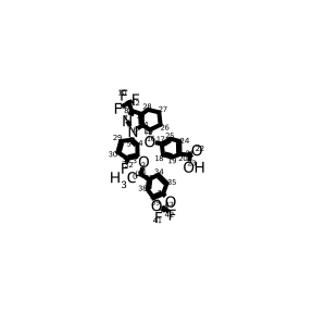 C[C@H](Oc1cc(-n2nc(C(F)(F)F)c3c2[C@@H](Oc2ccc(C(=O)O)cc2)CCC3)ccc1F)c1ccc2c(c1)OC(F)(F)O2